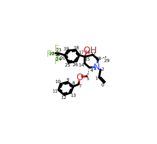 C=CCN1[C@H](COCc2ccccc2)C[C@](O)(c2ccc(C(F)(F)F)cc2)C[C@@H]1C